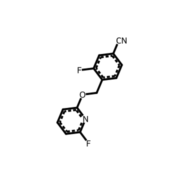 N#Cc1ccc(COc2cccc(F)n2)c(F)c1